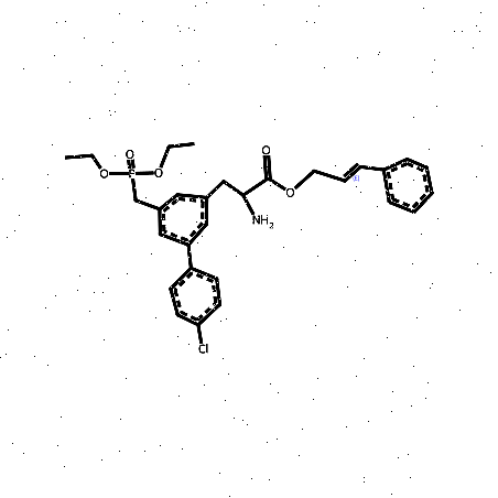 CCOP(=O)(Cc1cc(CC(N)C(=O)OC/C=C/c2ccccc2)cc(-c2ccc(Cl)cc2)c1)OCC